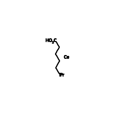 CC(C)CCCCC(=O)O.[Ce]